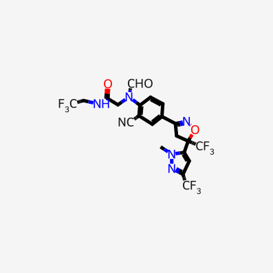 Cn1nc(C(F)(F)F)cc1C1(C(F)(F)F)CC(c2ccc(N(C=O)CC(=O)NCC(F)(F)F)c(C#N)c2)=NO1